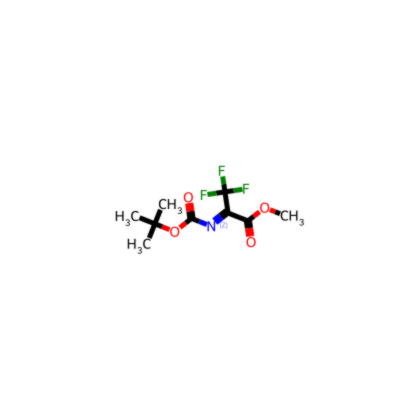 COC(=O)/C(=N/C(=O)OC(C)(C)C)C(F)(F)F